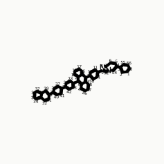 c1ccc(-c2ccc3nc(-c4ccc(-c5c6ccccc6c(-c6ccc(-c7ccc(-c8ccc9ccccc9c8)cc7)cc6)c6ccccc56)cc4)cn3c2)cc1